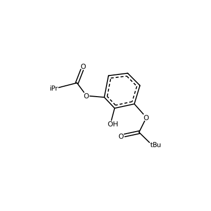 CC(C)C(=O)Oc1cccc(OC(=O)C(C)(C)C)c1O